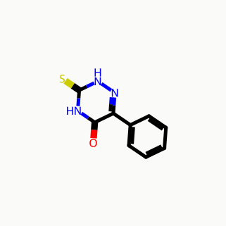 O=c1[nH]c(=S)[nH]nc1-c1ccccc1